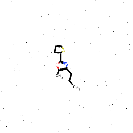 CCCc1nc(C2CC=CS2)oc1C